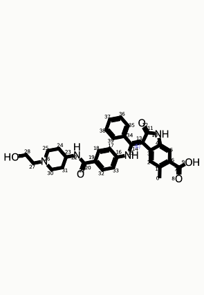 Cc1cc2c(cc1C(=O)O)NC(=O)/C2=C(/Nc1ccc(C(=O)NC2CCN(CCO)CC2)cc1)c1ccccc1